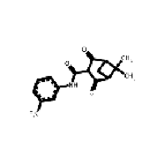 CC1(C)C2CC1C(=O)C(C(=O)Nc1cccc(C(F)(F)F)c1)C2=O